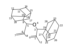 C=C(C)C(OC(C(=C)C)C12CC3CC(CC(C3)C1)C2)C12CC3CC(CC(C3)C1)C2